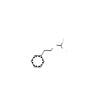 CCC(C=O)OCCc1ccccc1